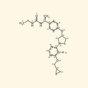 CCNC(=O)N[C@@H](C)c1ccc(OC2CCN(c3ncnc(OCC4CC4)c3F)C2)cc1